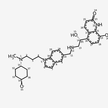 CN(CCCn1ccc2cc(CNC[C@H](O)c3ccc(O)c4[nH]c(=O)ccc34)ccc21)[C@H]1CC[C@H]([O])CC1